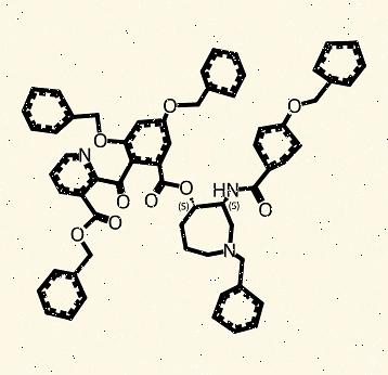 O=C(N[C@H]1CN(Cc2ccccc2)CCC[C@@H]1OC(=O)c1cc(OCc2ccccc2)cc(OCc2ccccc2)c1C(=O)c1ncccc1C(=O)OCc1ccccc1)c1ccc(OCc2ccccc2)cc1